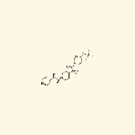 O=C(Nc1ccncc1)N1CCC(C2([S+]([O-])c3ccc(OC(F)(F)F)cc3)CC2)CC1